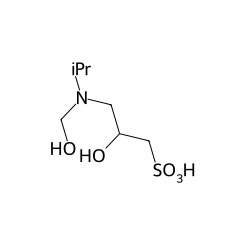 CC(C)N(CO)CC(O)CS(=O)(=O)O